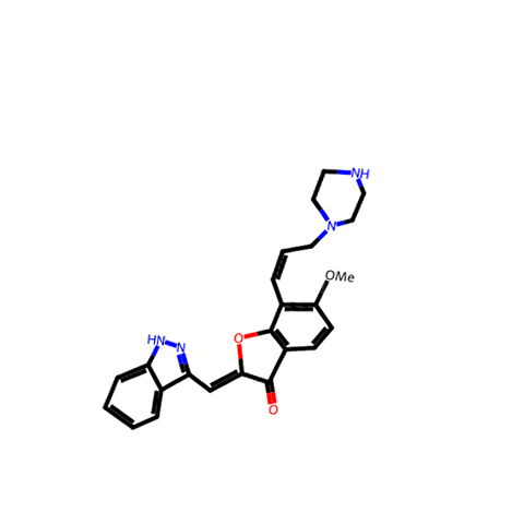 COc1ccc2c(c1/C=C\CN1CCNCC1)O/C(=C\c1n[nH]c3ccccc13)C2=O